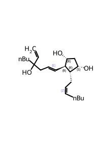 C=CC(O)(C/C=C/[C@@H]1[C@@H](C/C=C\CCCC)[C@@H](O)C[C@H]1O)CCCC